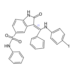 O=C1Nc2ccc(S(=O)(=O)Nc3ccccc3)cc2/C1=C(/Nc1ccc(I)cc1)c1ccccc1